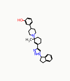 CC1(N2CCC(c3cccc(O)c3)CC2)C=C(c2cn(C3CCc4ccccc43)nn2)CCC1